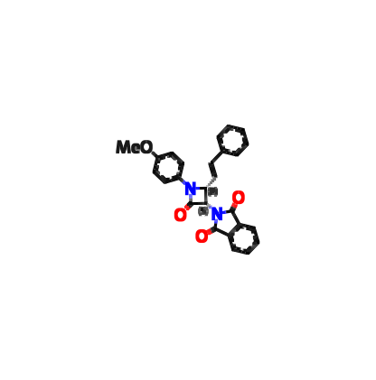 COc1ccc(N2C(=O)[C@@H](N3C(=O)c4ccccc4C3=O)[C@H]2C=Cc2ccccc2)cc1